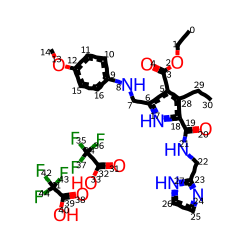 CCOC(=O)c1c(CNc2ccc(OC)cc2)[nH]c(C(=O)NCc2ncc[nH]2)c1CC.O=C(O)C(F)(F)F.O=C(O)C(F)(F)F